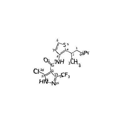 CC(C)CC(C)c1sccc1NC(=O)c1c(C(F)(F)F)n[nH]c1Cl